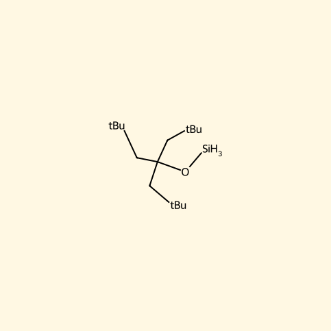 CC(C)(C)CC(CC(C)(C)C)(CC(C)(C)C)O[SiH3]